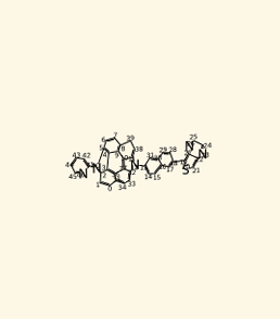 C1=CC2c3c4c(ccc5c4c4c(n(-c6ccc7cc(-c8scc9nccnc89)ccc7c6)c6ccc1c3c46)=CC5)N2c1ccccn1